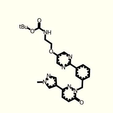 Cn1cc(-c2ccc(=O)n(Cc3cccc(-c4ncc(OCCNC(=O)OC(C)(C)C)cn4)c3)n2)cn1